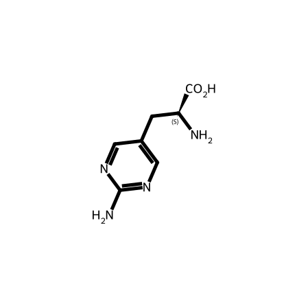 Nc1ncc(C[C@H](N)C(=O)O)cn1